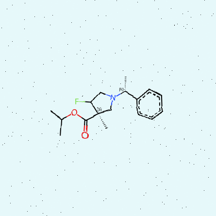 CC(C)OC(=O)[C@]1(C)CN([C@H](C)c2ccccc2)CC1F